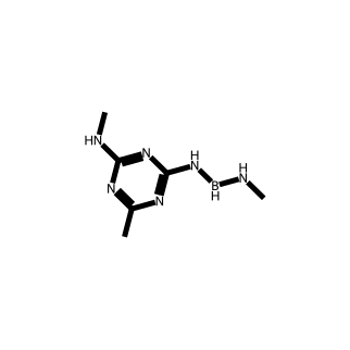 CNBNc1nc(C)nc(NC)n1